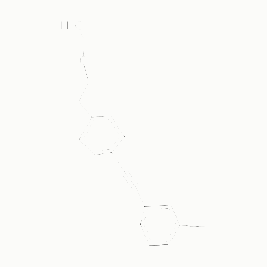 CCCCCc1ccc(C#Cc2cccc(F)c2)cc1